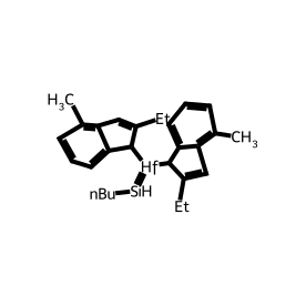 CCCC[SiH]=[Hf]([CH]1C(CC)=Cc2c(C)cccc21)[CH]1C(CC)=Cc2c(C)cccc21